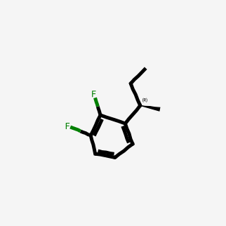 CC[C@@H](C)c1cccc(F)c1F